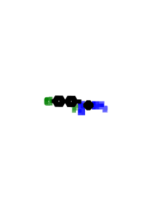 N[C@H]1C[C@@H](NCc2ccc(-c3ccc(Cl)cc3)cc2F)C1